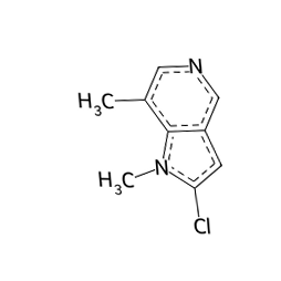 Cc1cncc2cc(Cl)n(C)c12